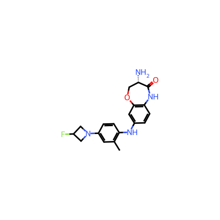 Cc1cc(N2CC(F)C2)ccc1Nc1ccc2c(c1)OC[C@H](N)C(=O)N2